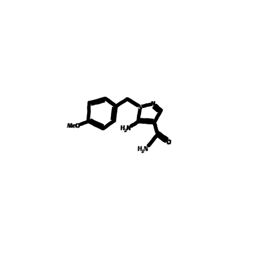 COc1ccc(Cn2ncc(C(N)=O)c2N)cc1